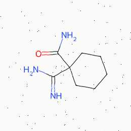 N=C(N)C1(C(N)=O)CCCCC1